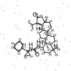 CC(C)C1=C2[C@H]3CC[C@@H]4[C@@]5(C)C(NC(=O)NC6(c7ccccc7)CC6)CCC(C)(C)[C@@H]5CC[C@@]4(C)[C@]3(C)CC[C@@]2(C)CC1=O